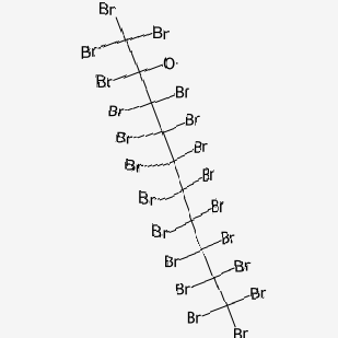 [O]C(Br)(C(Br)(Br)Br)C(Br)(Br)C(Br)(Br)C(Br)(Br)C(Br)(Br)C(Br)(Br)C(Br)(Br)C(Br)(Br)C(Br)(Br)Br